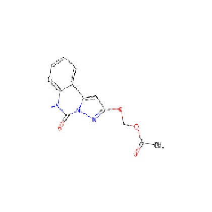 CC(=O)OCOc1cc2c3ccccc3[nH]c(=O)n2n1